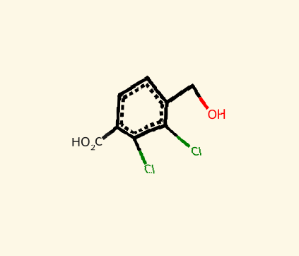 O=C(O)c1ccc(CO)c(Cl)c1Cl